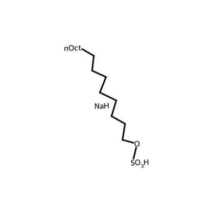 CCCCCCCCCCCCCCCCOS(=O)(=O)O.[NaH]